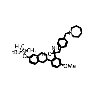 COc1ccc(C2CCc3cc(O[Si](C)(C)C(C)(C)C)ccc3C2)c(C(C)(N)Cc2ccc(CN3CCCCCC3)cc2)c1